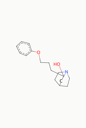 OC1(CCCOc2ccccc2)CC2CCN1CC2